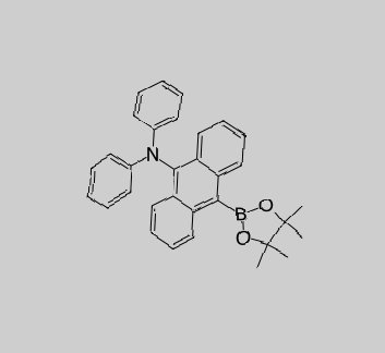 CC1(C)OB(c2c3ccccc3c(N(c3ccccc3)c3ccccc3)c3ccccc23)OC1(C)C